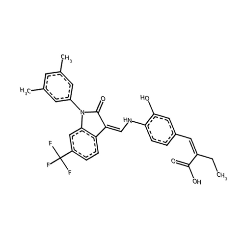 CCC(=Cc1ccc(NC=C2C(=O)N(c3cc(C)cc(C)c3)c3cc(C(F)(F)F)ccc32)c(O)c1)C(=O)O